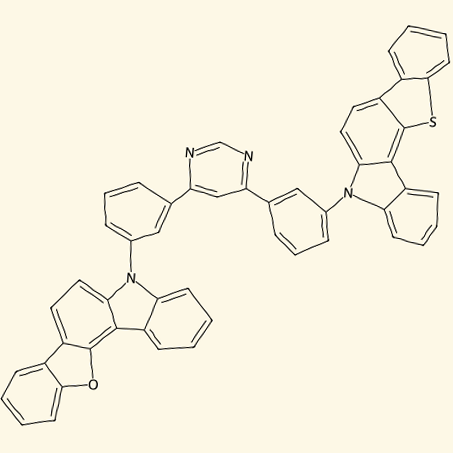 c1cc(-c2cc(-c3cccc(-n4c5ccccc5c5c6sc7ccccc7c6ccc54)c3)ncn2)cc(-n2c3ccccc3c3c4oc5ccccc5c4ccc32)c1